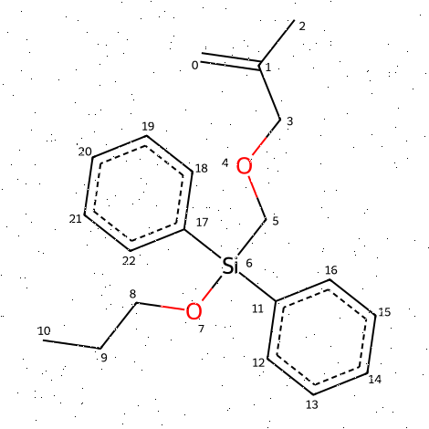 C=C(C)COC[Si](OCCC)(c1ccccc1)c1ccccc1